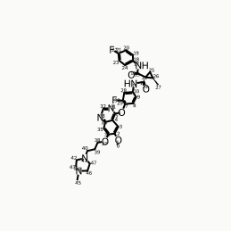 COc1cc2c(Oc3ccc(NC(=O)[C@]4(C(=O)Nc5ccc(F)cc5)C[C@H]4C)cc3F)ncnc2cc1OCCCN1CCN(C)CC1